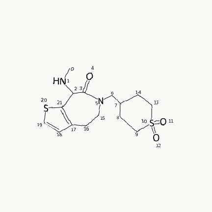 CNC1C(=O)N(CC2CCS(=O)(=O)CC2)CCc2ccsc21